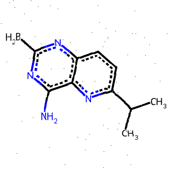 Bc1nc(N)c2nc(C(C)C)ccc2n1